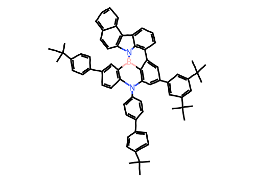 CC(C)(C)c1ccc(-c2ccc(N3c4ccc(-c5ccc(C(C)(C)C)cc5)cc4B4c5c(cc(-c6cc(C(C)(C)C)cc(C(C)(C)C)c6)cc53)-c3cccc5c6c7ccccc7ccc6n4c35)cc2)cc1